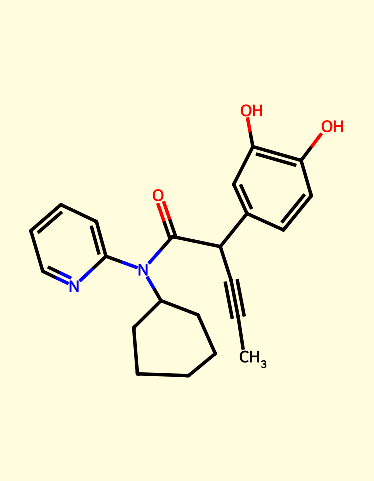 CC#CC(C(=O)N(c1ccccn1)C1CCCCC1)c1ccc(O)c(O)c1